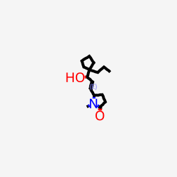 CCCC1(C(O)/C=C/C2CCC(=O)N2C)CCCC1